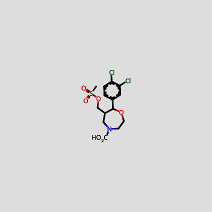 CS(=O)(=O)OCC1CN(C(=O)O)CCOC1c1ccc(Cl)c(Cl)c1